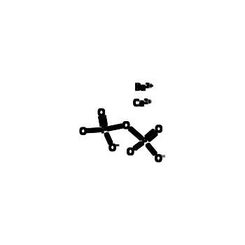 O=P([O-])([O-])OP(=O)([O-])[O-].[Ba+2].[Ca+2]